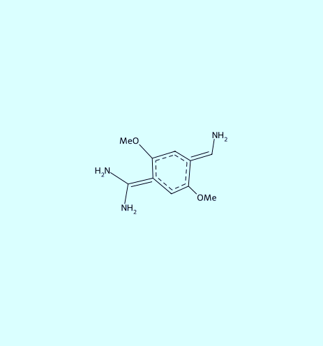 COc1c/c(=C\N)c(OC)cc1=C(N)N